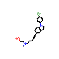 CN(CCO)CCCC#Cc1ccc2c(ccn2-c2ccc(Br)cc2)c1